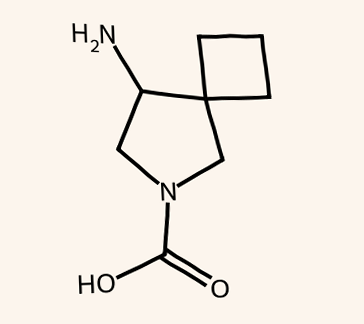 NC1CN(C(=O)O)CC12CCC2